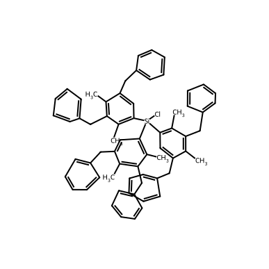 Cc1c(Cc2ccccc2)cc([Si](Cl)(c2cc(Cc3ccccc3)c(C)c(Cc3ccccc3)c2C)c2cc(Cc3ccccc3)c(C)c(Cc3ccccc3)c2C)c(C)c1Cc1ccccc1